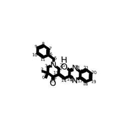 CC1(C)CN(Cc2ccccc2)CC(=Cc2nc3ccccc3nc2O)C1=O